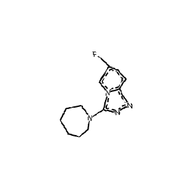 Fc1ccc2nnc(N3CCCCCC3)n2c1